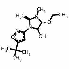 C=C1N(c2cc(C(C)(C)C)on2)C(O)[C@@H](OCC)N1C